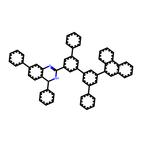 c1ccc(-c2cc(C3=Nc4cc(-c5ccccc5)ccc4C(c4ccccc4)N3)cc(-c3cc(-c4ccccc4)cc(-c4cc5ccccc5c5ccccc45)c3)c2)cc1